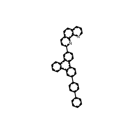 c1ccc(-c2ccc(-c3ccc4c5ccc(-c6ccc7ccc8cccnc8c7n6)cc5c5ccccc5c4c3)cc2)cc1